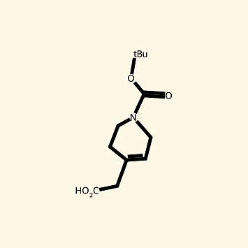 CC(C)(C)OC(=O)N1CC=C(CC(=O)O)CC1